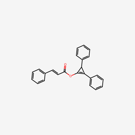 O=C(C=Cc1ccccc1)OC1=C(c2ccccc2)C1c1ccccc1